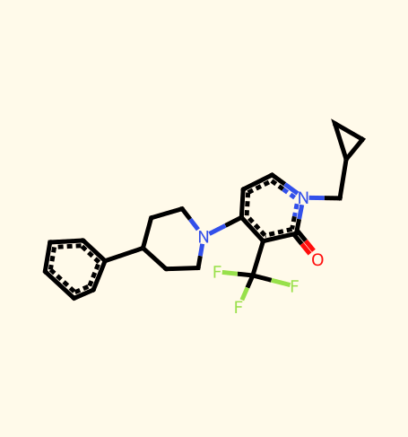 O=c1c(C(F)(F)F)c(N2CCC(c3ccccc3)CC2)ccn1CC1CC1